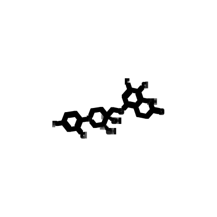 O=C1CCc2c(OC[C@]3(O)CCN(c4ccc(F)cc4Cl)C[C@H]3O)cc(F)c(Cl)c2N1